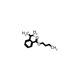 CCCCOC(=O)c1ccccc1C(C)C